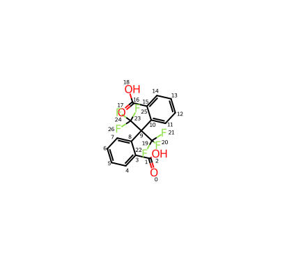 O=C(O)c1ccccc1C(c1ccccc1C(=O)O)(C(F)(F)F)C(F)(F)F